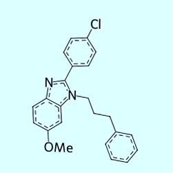 COc1ccc2nc(-c3ccc(Cl)cc3)n(CCCc3ccccc3)c2c1